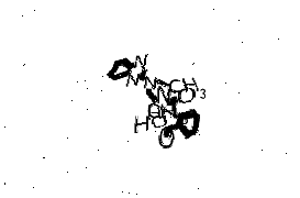 C[C@@H]1CN(c2cnc3ccccc3n2)C[C@H](C)N1C(=O)Nc1ccccc1C(=O)O